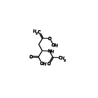 C=C(CC(NC(C)=O)C(=O)O)OO